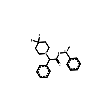 C[C@H](OC(=O)C(c1ccccc1)N1CCC(F)(F)CC1)c1ccccc1